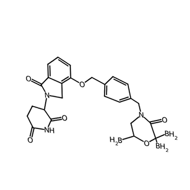 BC1CN(Cc2ccc(COc3cccc4c3CN(C3CCC(=O)NC3=O)C4=O)cc2)C(=O)C(B)(B)O1